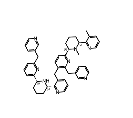 Cc1cccnc1[C@@H]1CCC[C@H](c2ccc(Cc3cccnc3[C@@H]3CCC[C@H](c4cccc(Cc5cccnc5)n4)N3)c(Cc3cccnc3)n2)N1C